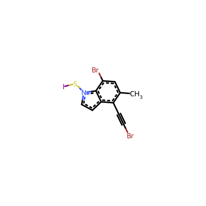 Cc1cc(Br)c2c(ccn2SI)c1C#CBr